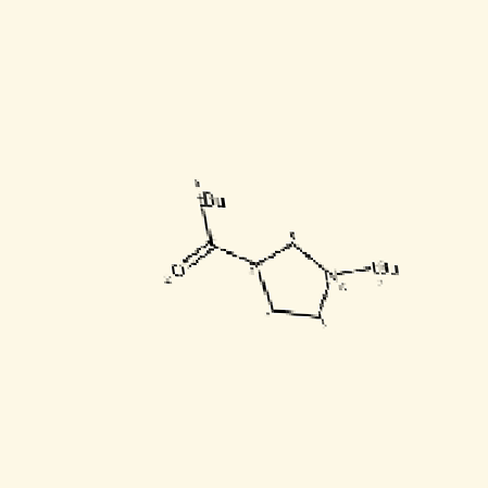 CC(C)(C)C(=O)C1CCN(C(C)(C)C)C1